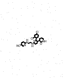 N#Cc1ccc(NCCNc2ccc(-c3ccc[nH]c3=O)c(-c3ccc(Cl)cc3Cl)n2)nc1